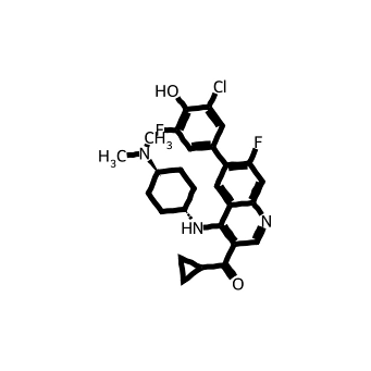 CN(C)[C@H]1CC[C@H](Nc2c(C(=O)C3CC3)cnc3cc(F)c(-c4cc(F)c(O)c(Cl)c4)cc23)CC1